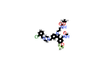 CC(=O)NCc1cc(OC(F)(F)F)ccc1-c1cn(CCCNC(=O)OC(C)(C)C)c2ccc(CN3CCN(Cc4ccccc4Cl)CC3)cc12